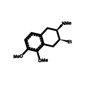 CC[C@@H]1Cc2c(ccc(OC)c2OC)C[C@H]1NC